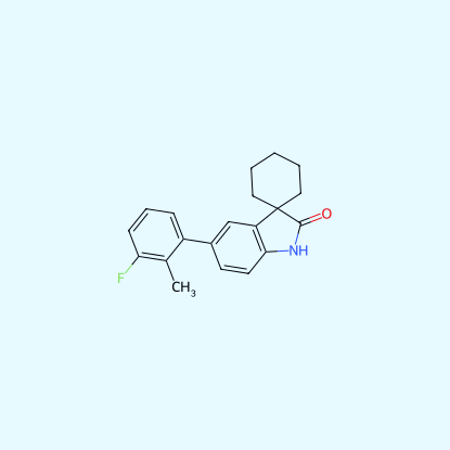 Cc1c(F)cccc1-c1ccc2c(c1)C1(CCCCC1)C(=O)N2